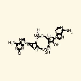 Nc1nc(Cl)nc2c1ncn2[C@@H]1C2O[C@@H]3CO[P@@](=O)(S)OC4C(O)[C@H](n5cnc6c(N)ncnc65)O[C@@H]4CO[P@@](=O)(S)OC3C21